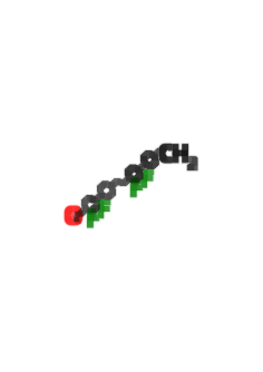 C=Cc1ccc(-c2ccc(CCC3CCC(C4=CCC(C5CO5)C(F)=C4F)CC3)c(F)c2F)cc1